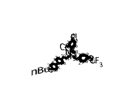 CCCCOc1ccc(-c2ccc(/C=C/c3nc(-c4ccc(Cl)cc4Cl)cn3Cc3ccc(OC(F)(F)F)cc3)cc2)cc1